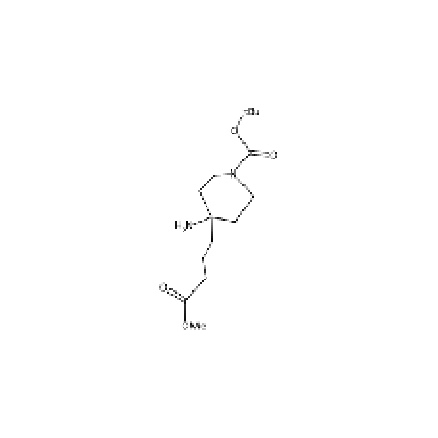 COC(=O)CCCC1(N)CCN(C(=O)OC(C)(C)C)CC1